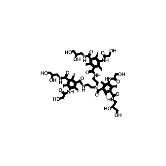 Cc1c(NC(=O)CO)c(I)c(C(=O)NCC(O)CO)c(I)c1C(=O)N(CCNC(=O)c1c(I)c(NC(=O)CO)c(I)c(C(=O)NCC(O)CO)c1I)CCNC(=O)c1c(I)c(NC(=O)CO)c(I)c(C(=O)NCC(O)CO)c1I